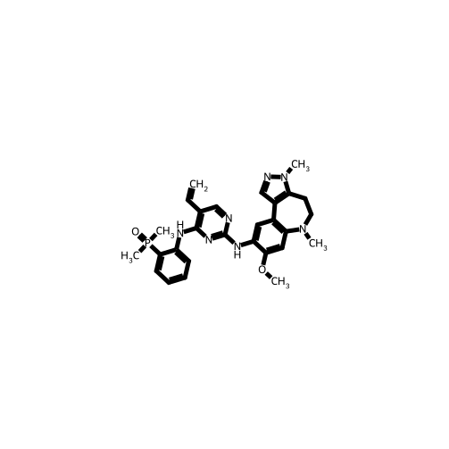 C=Cc1cnc(Nc2cc3c(cc2OC)N(C)CCc2c-3cnn2C)nc1Nc1ccccc1P(C)(C)=O